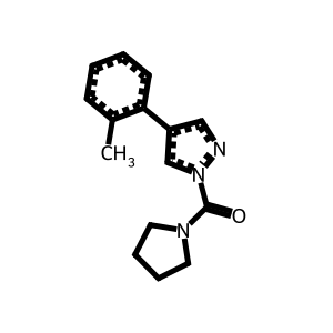 Cc1ccccc1-c1cnn(C(=O)N2CCCC2)c1